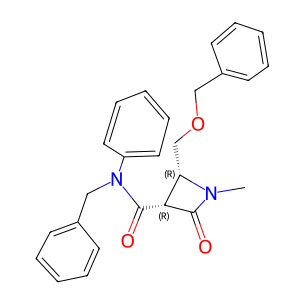 CN1C(=O)[C@H](C(=O)N(Cc2ccccc2)c2ccccc2)[C@@H]1COCc1ccccc1